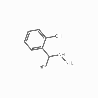 CCCC(NN)c1ccccc1O